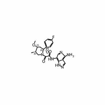 CO[C@H]1C[C@@](O)(c2ccc(F)cc2)N(C(=O)C(=O)Nc2cnc(N)c3cn[nH]c23)C[C@H]1C